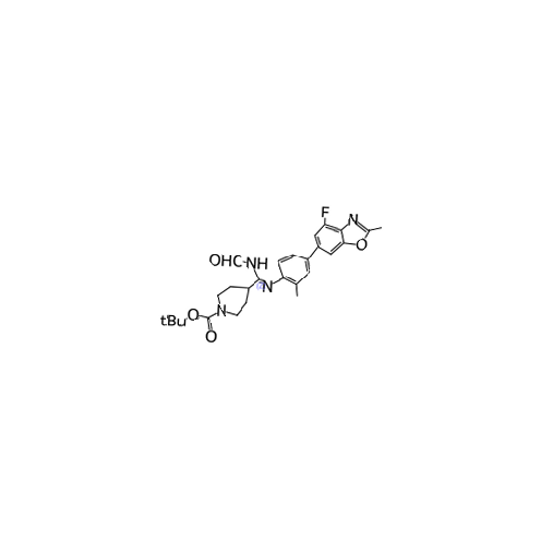 Cc1nc2c(F)cc(-c3ccc(/N=C(\NC=O)C4CCN(C(=O)OC(C)(C)C)CC4)c(C)c3)cc2o1